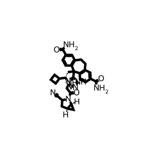 N#CC1C[C@@H]2C[C@@H]2N1C(=O)CN[C@@H](CC1(c2nnn[nH]2)c2ccc(C(N)=O)cc2CCc2cc(C(N)=O)ccc21)C1CCC1